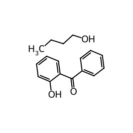 CCCCO.O=C(c1ccccc1)c1ccccc1O